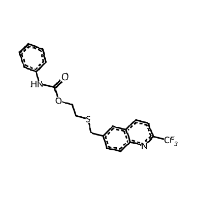 O=C(Nc1ccccc1)OCCSCc1ccc2nc(C(F)(F)F)ccc2c1